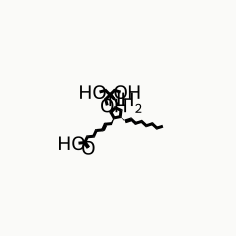 CCCCCC/C=C/[C@H]1CCC[C@@H]1C/C=C/CCCC(=O)O.NC(CO)(CO)CO